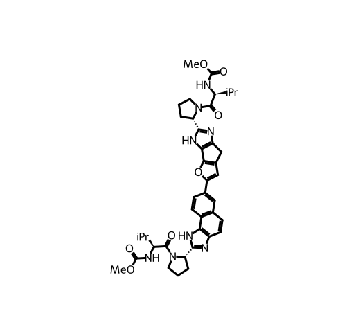 COC(=O)N[C@H](C(=O)N1CCC[C@H]1c1nc2c([nH]1)-c1oc(-c3ccc4c(ccc5nc([C@@H]6CCCN6C(=O)[C@@H](NC(=O)OC)C(C)C)[nH]c54)c3)cc1C2)C(C)C